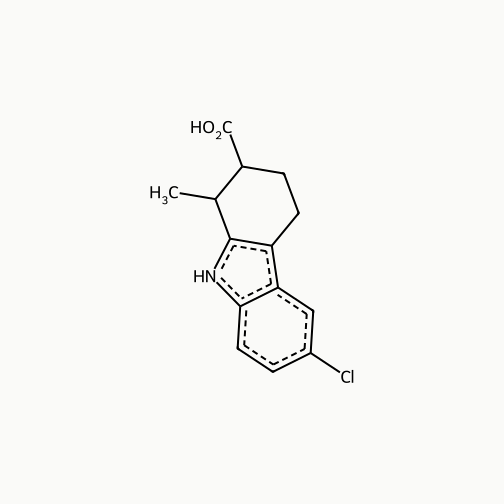 CC1c2[nH]c3ccc(Cl)cc3c2CCC1C(=O)O